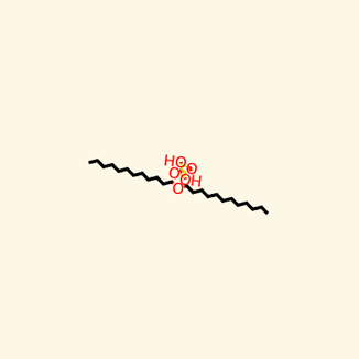 CCCCCCCCCCCCOCCCCCCCCCCCC.O=S(=O)(O)O